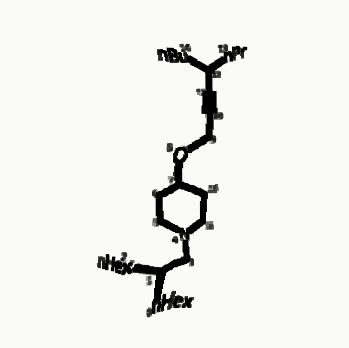 CCCCCCC(CCCCCC)CN1CCC(OCC#CC(CCC)CCCC)CC1